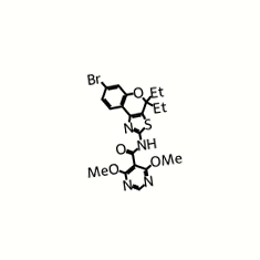 CCC1(CC)Oc2cc(Br)ccc2-c2nc(NC(=O)c3c(OC)ncnc3OC)sc21